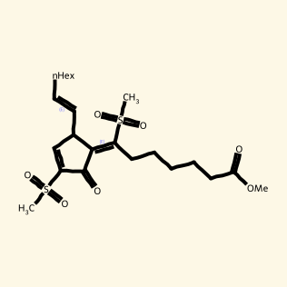 CCCCCC/C=C/C1C=C(S(C)(=O)=O)C(=O)/C1=C(\CCCCCC(=O)OC)S(C)(=O)=O